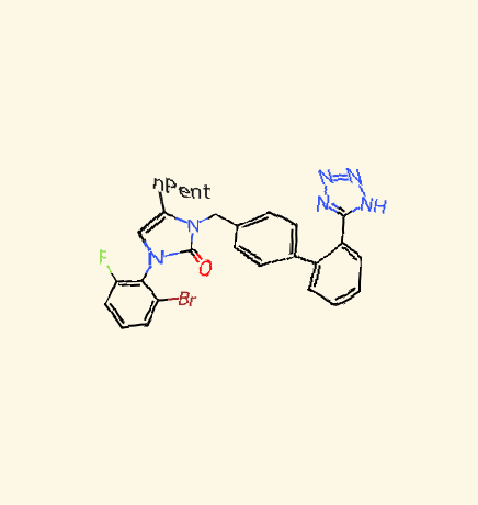 CCCCCc1cn(-c2c(F)cccc2Br)c(=O)n1Cc1ccc(-c2ccccc2-c2nnn[nH]2)cc1